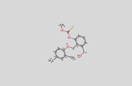 COC(=S)Oc1cccc(CO)c1COc1ccc(C)cc1C